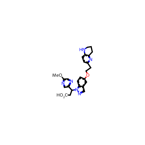 COc1cnc(C(CC(=O)O)n2ncc3cc(OCCc4ccc5c(n4)CCCN5)ccc32)cn1